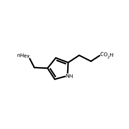 CCCCCCCc1c[nH]c(CCC(=O)O)c1